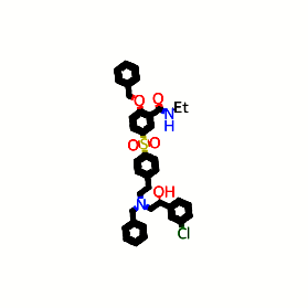 CCNC(=O)c1cc(S(=O)(=O)c2ccc(CCN(Cc3ccccc3)C[C@H](O)c3cccc(Cl)c3)cc2)ccc1OCc1ccccc1